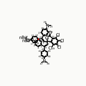 CCCCOc1ccc(C(=CC2(C=C(c3ccc(OCCCC)cc3)c3ccc(N(C)C)cc3)OC(=O)c3c(Cl)c(Cl)c(Cl)c(Cl)c32)c2ccc(N(C)C)cc2)cc1